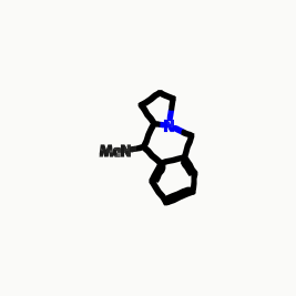 CNC1c2ccccc2CN2CCCC12